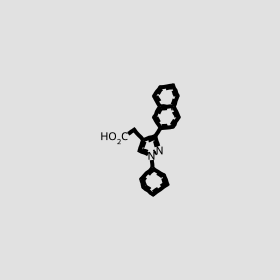 O=C(O)Cc1cn(-c2ccccc2)nc1-c1ccc2ccccc2c1